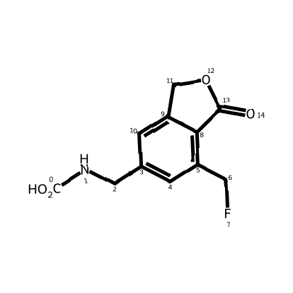 O=C(O)NCc1cc(CF)c2c(c1)COC2=O